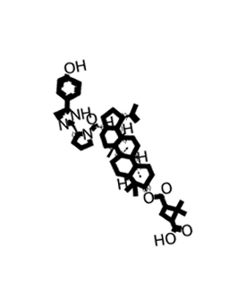 C=C(C)[C@@H]1CC[C@]2(C(=O)N3CCC[C@H]3c3ncc(-c4ccc(O)cc4)[nH]3)CC[C@]3(C)[C@H](CC[C@@H]4[C@@]5(C)CC[C@H](OC(=O)C6CC(C(=O)O)C6(C)C)C(C)(C)[C@@H]5CC[C@]43C)[C@@H]12